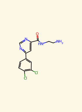 NCCNC(=O)c1cc(-c2ccc(Cl)c(Cl)c2)ncn1